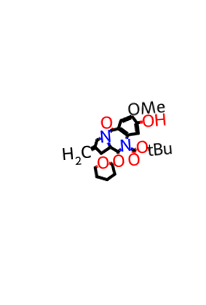 C=C1CC2C(OC3CCCCO3)N(C(=O)OC(C)(C)C)c3cc(O)c(OC)cc3C(=O)N2C1